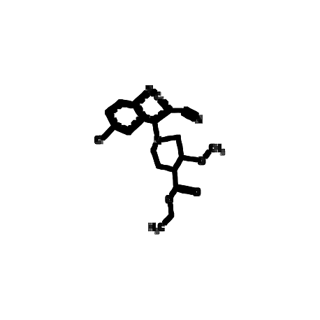 CCOC(=O)C1CCN(c2c(C#N)cnc3ccc(Cl)cc23)CC1OC